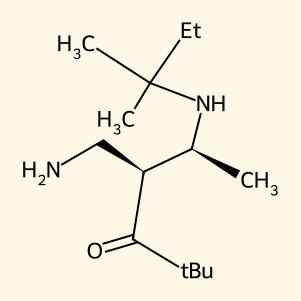 CCC(C)(C)N[C@@H](C)[C@H](CN)C(=O)C(C)(C)C